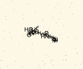 CCCc1c(OCCCCCC(=O)NCCCc2cccnc2)ccc(C(C)=O)c1O